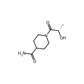 C[C@H](O)C(=O)N1CCC(C(N)=O)CC1